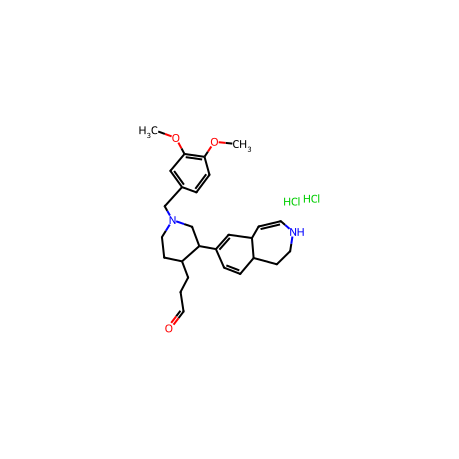 COc1ccc(CN2CCC(CCC=O)C(C3=CC4C=CNCCC4C=C3)C2)cc1OC.Cl.Cl